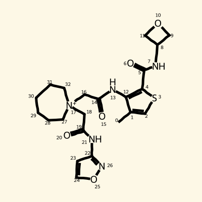 Cc1csc(C(=O)NC2COC2)c1NC(=O)C[N+]1(CC(=O)Nc2ccon2)CCCCCC1